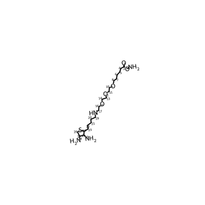 NOC(=O)CCCCCOCCOCCOCCNCCCCCC1SCC(N)C1N